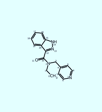 CCN(Cc1ccncc1)C(=O)c1n[nH]c2ccccc12